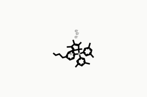 CCCCc1ccc([Si](c2cc(C)cc(C)c2)(c2cc(C)cc(C)c2)C2(C)C(C)=C(C)C(C)=[C]2[Ti+3])cc1.[Cl-].[Cl-].[Cl-]